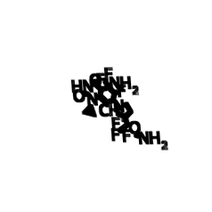 CC1=C2C(C(=O)NC(=O)N2C2CC2)C(N)(C(F)F)C(F)C1N1CCC(C(OCN)C(F)(F)F)C1